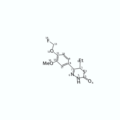 CCC1SC(=O)NN=C1c1ccc(OCF)c(OC)c1